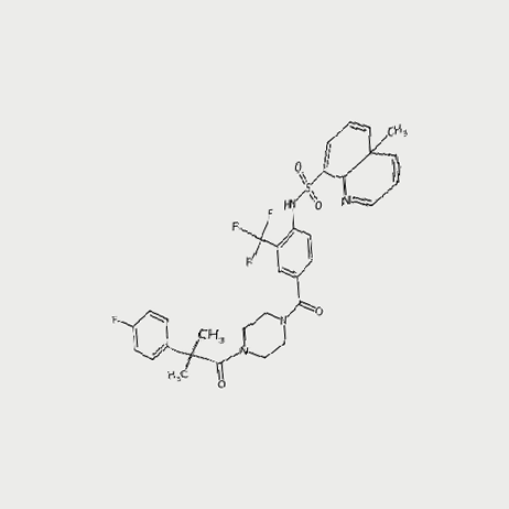 CC(C)(C(=O)N1CCN(C(=O)c2ccc(NS(=O)(=O)C3=CC=CC4(C)C=CC=NC34)c(C(F)(F)F)c2)CC1)c1ccc(F)cc1